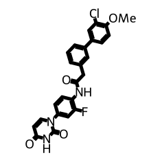 COc1ccc(-c2cccc(CC(=O)Nc3ccc(-n4ccc(=O)[nH]c4=O)cc3F)c2)cc1Cl